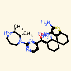 C[C@@H]1NCCCN(c2nccc(/C(O)=C3\CCC[C@@]4(CCCc5sc(N)c(N)c54)[C@@H]3N)n2)[C@H]1C